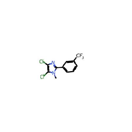 Cn1c(-c2cccc(C(F)(F)F)c2)nc(Cl)c1Cl